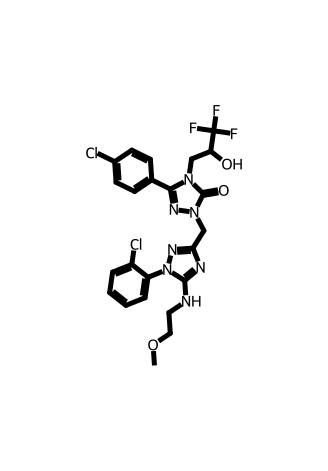 COCCNc1nc(Cn2nc(-c3ccc(Cl)cc3)n(CC(O)C(F)(F)F)c2=O)nn1-c1ccccc1Cl